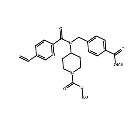 C=Cc1ccc(C(=O)N(Cc2ccc(C(=O)OC)cc2)C2CCN(C(=O)OC(C)(C)C)CC2)nc1